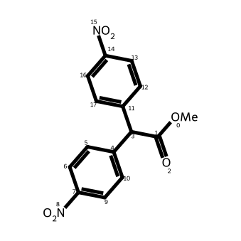 COC(=O)C(c1ccc([N+](=O)[O-])cc1)c1ccc([N+](=O)[O-])cc1